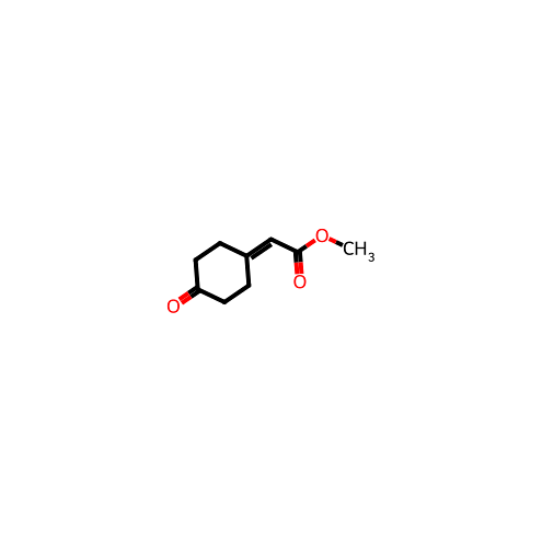 COC(=O)C=C1CCC(=O)CC1